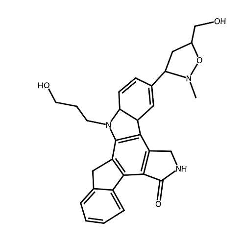 CN1OC(CO)CC1C1=CC2c3c4c(c5c(c3N(CCCO)C2C=C1)Cc1ccccc1-5)C(=O)NC4